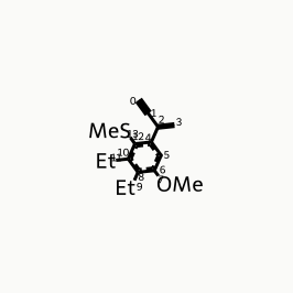 C#CC(=C)c1cc(OC)c(CC)c(CC)c1SC